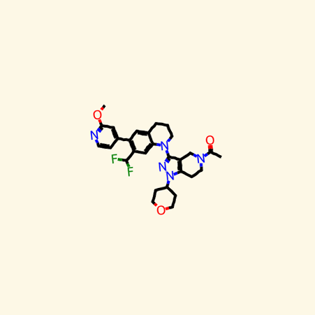 COc1cc(-c2cc3c(cc2C(F)F)N(c2nn(C4CCOCC4)c4c2CN(C(C)=O)CC4)CCC3)ccn1